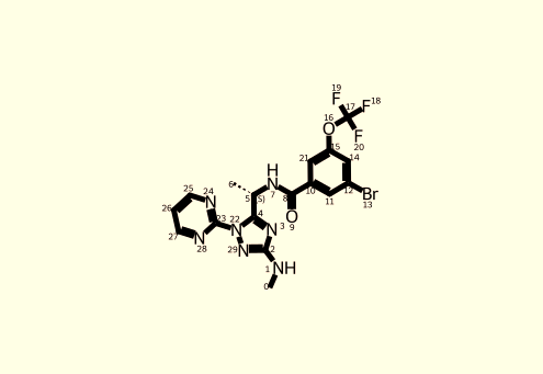 CNc1nc([C@H](C)NC(=O)c2cc(Br)cc(OC(F)(F)F)c2)n(-c2ncccn2)n1